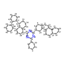 c1ccc(-c2nc(-c3ccc4ccc5c6ccccc6ccc5c4c3)nc(-c3ccc4c5c(cccc35)-c3ccccc3-c3ccccc3-4)n2)cc1